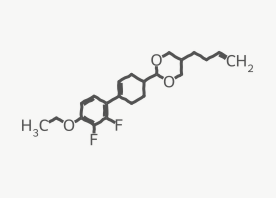 C=CCCC1COC(C2CC=C(c3ccc(OCC)c(F)c3F)CC2)OC1